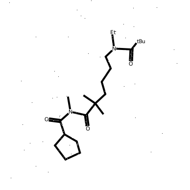 CCN(CCCCC(C)(C)C(=O)N(C)C(=O)C1CCCC1)C(=O)C(C)(C)C